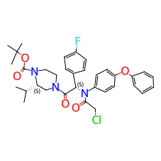 CC(C)[C@H]1CN(C(=O)[C@H](c2ccc(F)cc2)N(C(=O)CCl)c2ccc(Oc3ccccc3)cc2)CCN1C(=O)OC(C)(C)C